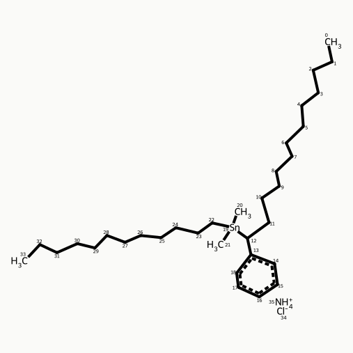 CCCCCCCCCCCC[CH](c1ccccc1)[Sn]([CH3])([CH3])[CH2]CCCCCCCCCCC.[Cl-].[NH4+]